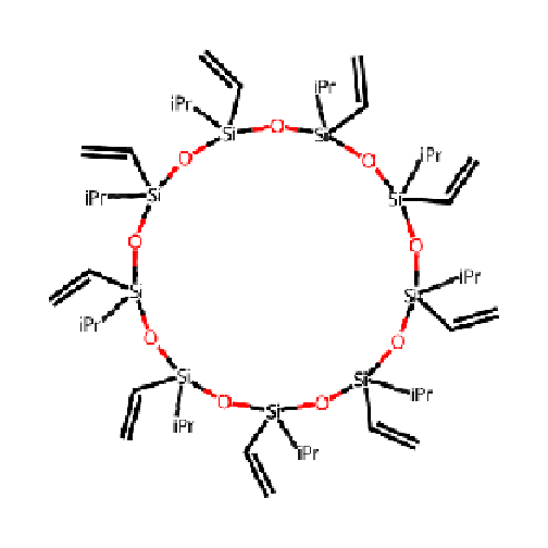 C=C[Si]1(C(C)C)O[Si](C=C)(C(C)C)O[Si](C=C)(C(C)C)O[Si](C=C)(C(C)C)O[Si](C=C)(C(C)C)O[Si](C=C)(C(C)C)O[Si](C=C)(C(C)C)O[Si](C=C)(C(C)C)O[Si](C=C)(C(C)C)O1